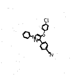 N#Cc1ccc(-c2nn(-c3ccccc3)cc2Sc2ccc(Cl)cc2)cc1